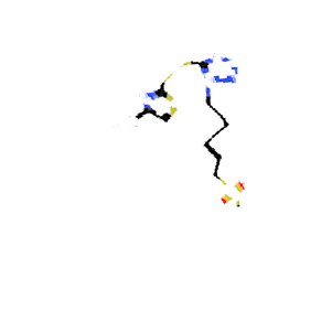 Cc1csc(Sc2nnnn2CCCCCS(C)(=O)=O)n1